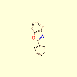 [c]1[c]c2nc(-c3ccccc3)oc2cc1